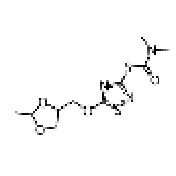 CC1OCC(COc2nc(SC(=O)N(C)C)ns2)O1